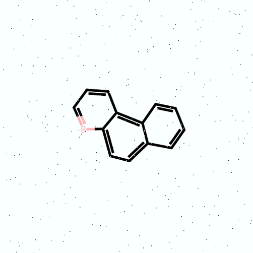 b1cccc2c1ccc1ccccc12